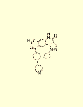 Cc1cc2[nH]c(=O)c3cnn(C4CCCC4)c3c2cc1C(=O)N1CCC(c2ccncc2)CC1